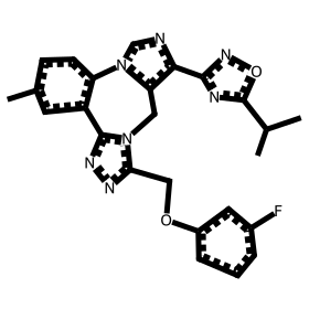 Cc1ccc2c(c1)-c1nnc(COc3cccc(F)c3)n1Cc1c(-c3noc(C(C)C)n3)ncn1-2